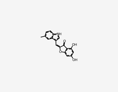 Cc1ccc2[nH]cc(/C=C3/Oc4cc(O)cc(O)c4C3=O)c2c1